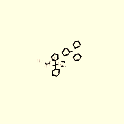 C=CC(C)[SiH2]C(c1ccccc1)(c1ccccc1)n1ccnc1.c1ccc(B(c2ccccc2)c2ccccc2)cc1